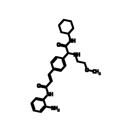 COCCNC(C(=O)NC1CCCCC1)c1ccc(/C=C/C(=O)Nc2ccccc2N)cc1